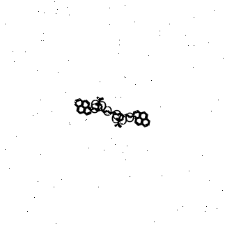 C=C(C)C(=O)OC(COCCOCC(COc1ccc2c3c4c(ccc13)C=CCC4=CC2)OC(=O)C(=C)C)COc1ccc2c3c4c(ccc13)C=CCC4=CC2